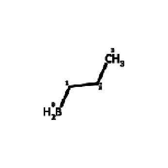 BC[CH]C